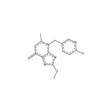 CSc1nc2n(Cc3ccc(F)nc3)c(C)cc(=O)n2n1